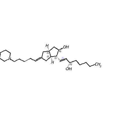 CCCCC[C@H](O)/C=C/[C@@H]1[C@H]2CC(=CCCCCN3CCCCC3)C[C@H]2C[C@H]1O